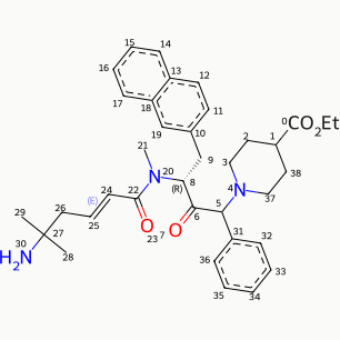 CCOC(=O)C1CCN(C(C(=O)[C@@H](Cc2ccc3ccccc3c2)N(C)C(=O)/C=C/CC(C)(C)N)c2ccccc2)CC1